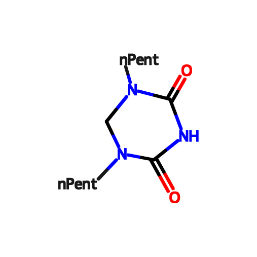 CCCCCN1CN(CCCCC)C(=O)NC1=O